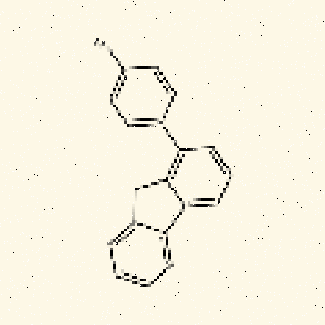 CC(=O)c1ccc(-c2cccc3c2Cc2ccccc2-3)cc1